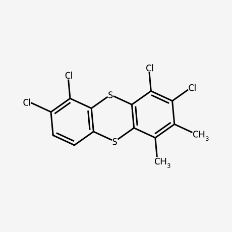 Cc1c(C)c2c(c(Cl)c1Cl)Sc1c(ccc(Cl)c1Cl)S2